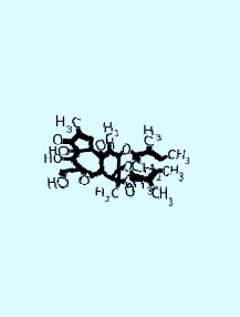 C=C(OC1C(C)C2(O)C(C3OC3(CO)C(O)C3(O)C(=O)C(C)=CC32)C2C(C)(C)C12OC(=O)C(C)CC)/C(C)=C/C